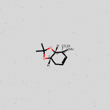 CCOC(=O)[C@]1(OC(C)=O)C=CC[C@@H]2OC(C)(C)O[C@@H]21